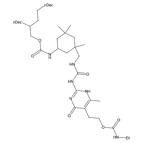 CCCCCCCCCCCCC(CCCCCCCCCC)COC(=O)NC1CC(C)(C)CC(C)(CNC(=O)Nc2nc(=O)c(CCOC(=O)NCC)c(C)[nH]2)C1